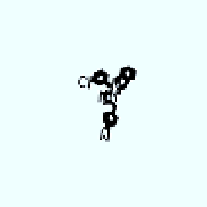 N#Cc1ccc(Cc2cncn2C[C@@H]2Cc3ccccc3CN2Cc2cccc(Cl)c2)cc1